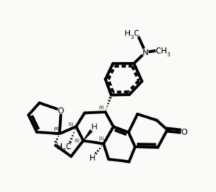 CN(C)c1ccc([C@H]2C[C@@]3(C)[C@@H](CC[C@@]34C=CCO4)[C@@H]3CCC4=CC(=O)CCC4=C32)cc1